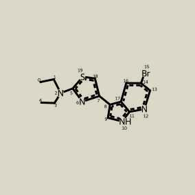 CCN(CC)c1nc(-c2c[nH]c3ncc(Br)cc23)cs1